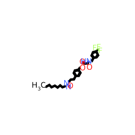 CCCCCCCCc1noc(CCc2ccc(COC(=O)C(=O)NCc3ccc(C(F)(F)F)cc3)cc2)n1